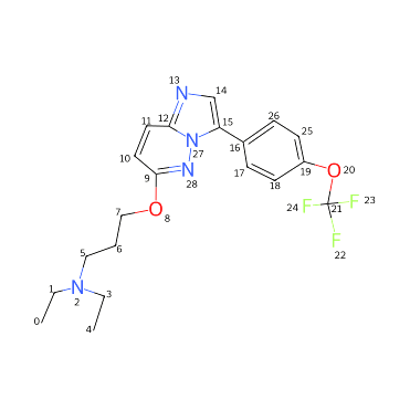 CCN(CC)CCCOc1ccc2ncc(-c3ccc(OC(F)(F)F)cc3)n2n1